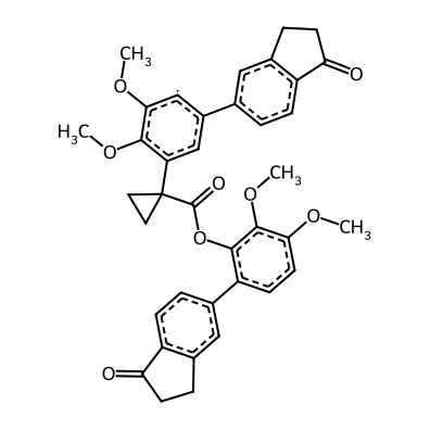 COc1[c]c(-c2ccc3c(c2)CCC3=O)cc(C2(C(=O)Oc3c(-c4ccc5c(c4)CCC5=O)ccc(OC)c3OC)CC2)c1OC